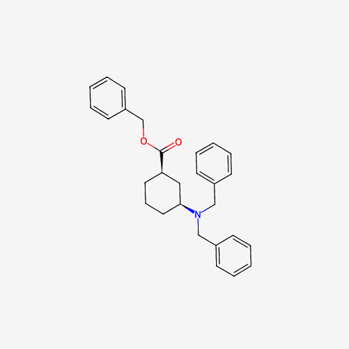 O=C(OCc1ccccc1)[C@@H]1CCC[C@H](N(Cc2ccccc2)Cc2ccccc2)C1